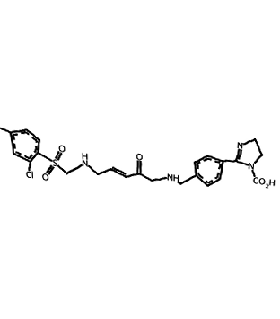 O=C(C=CCNCS(=O)(=O)c1ccc(F)cc1Cl)CNCc1ccc(C2=NCCN2C(=O)O)cc1